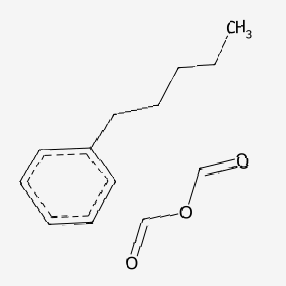 CCCCCc1ccccc1.O=COC=O